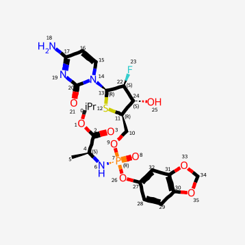 CC(C)OC(=O)[C@H](C)N[P@@](=O)(OC[C@H]1S[C@@H](n2ccc(N)nc2=O)[C@@H](F)[C@@H]1O)Oc1ccc2c(c1)OCO2